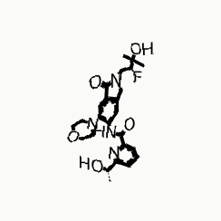 C[C@H](O)c1cccc(C(=O)Nc2cc3c(cc2N2CCOCC2)C(=O)N(C[C@@H](F)C(C)(C)O)C3)n1